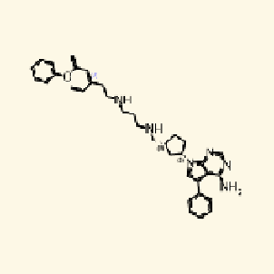 C=C/C(=C\C(=C)Oc1ccccc1)CCNCCCNC[C@@H]1CC[C@H](n2cc(-c3ccccc3)c3c(N)ncnc32)C1